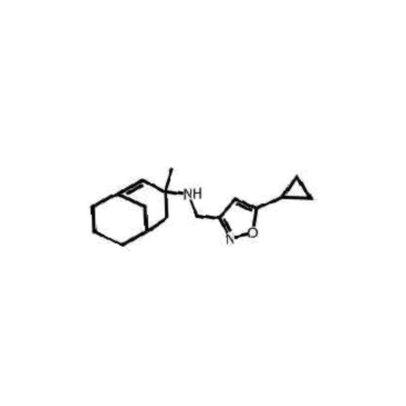 CC1(NCc2cc(C3CC3)on2)C=C2CCCC(C2)C1